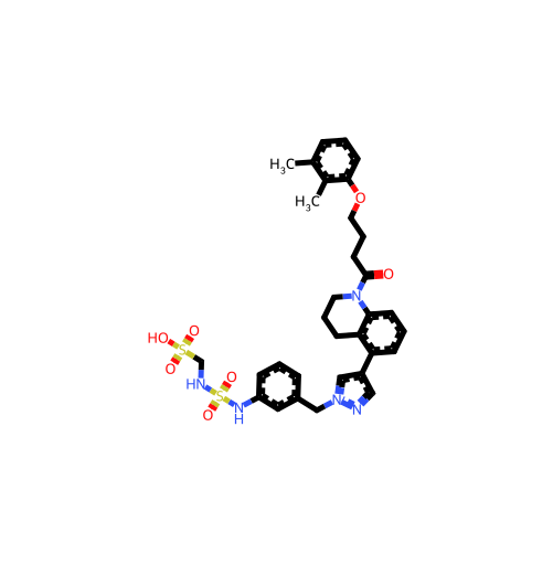 Cc1cccc(OCCCC(=O)N2CCCc3c(-c4cnn(Cc5cccc(NS(=O)(=O)NCS(=O)(=O)O)c5)c4)cccc32)c1C